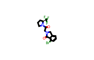 O=C1c2c(Br)cccc2CN1CC(=O)N1CCC[C@H]1C(F)(F)F